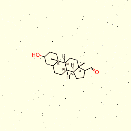 C[C@]12CCC(O)CC1CC[C@@H]1[C@H]2CC[C@]2(C)C(C=O)CC[C@@H]12